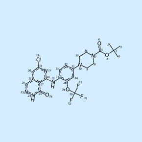 CC(C)(C)OC(=O)N1CCN(c2ccc(Nc3nc(Cl)cc4cn[nH]c(=O)c34)c(OC(F)(F)F)c2)CC1